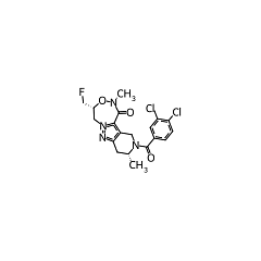 C[C@@H]1Cc2nn3c(c2CN1C(=O)c1ccc(Cl)c(Cl)c1)C(=O)N(C)O[C@@H](CF)C3